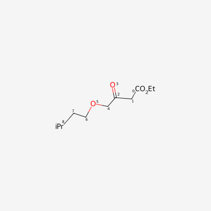 CCOC(=O)CC(=O)COCCC(C)C